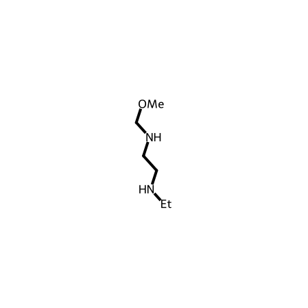 CCNCCNCOC